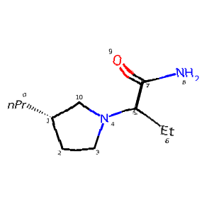 CCC[C@H]1CCN(C(CC)C(N)=O)C1